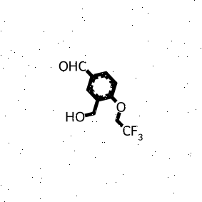 O=Cc1ccc(OCC(F)(F)F)c(CO)c1